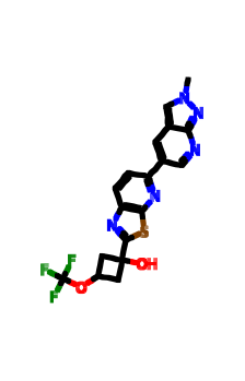 Cn1cc2cc(-c3ccc4nc(C5(O)CC(OC(F)(F)F)C5)sc4n3)cnc2n1